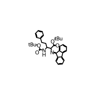 CC(C)(C)OC(=O)NC(CCc1ccccc1)C(N=C1c2ccccc2-c2ccccc21)C(=O)OC(C)(C)C